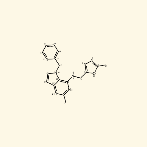 Cc1nc(NCc2nnc(C)o2)c2c(ccn2Cc2ccccn2)n1